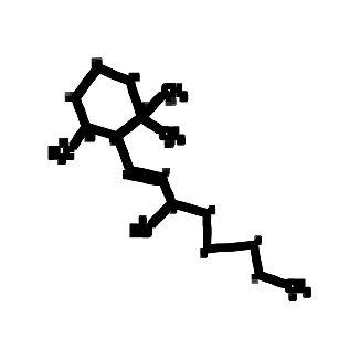 CCCCCC(O)C=CC1C(C)CCCC1(C)C